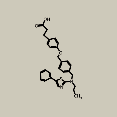 CCCN(Cc1ccc(COc2ccc(CCC(=O)O)cc2)cc1)c1ncc(-c2ccccc2)s1